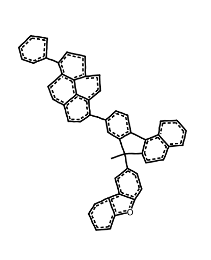 CC1(c2ccc3oc4ccccc4c3c2)c2cc(-c3ccc4ccc5c(-c6ccccc6)ccc6ccc3c4c65)ccc2-c2c1ccc1ccccc21